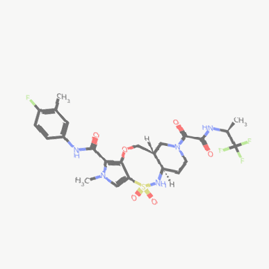 Cc1cc(NC(=O)c2c3c(cn2C)S(=O)(=O)N[C@@H]2CCN(C(=O)C(=O)N[C@@H](C)C(F)(F)F)C[C@H]2CO3)ccc1F